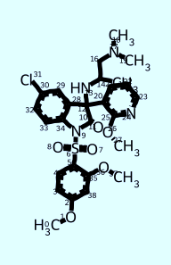 COc1ccc(S(=O)(=O)N2C(=O)C(NC(C)CN(C)C)(c3cccnc3OC)c3cc(Cl)ccc32)c(OC)c1